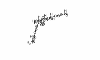 CC(=O)NCCCOCCOCCOCCCNC(O)COCC(=O)N[C@@H](CSCCOC(C)=O)C(=O)NCC(=O)N[C@H](CO)C(=O)NCCCOCCOCCOCCCNC(=O)COCC(N)=O